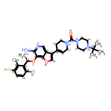 C[C@@H](Oc1c(N)ncc2c(C3=CCN(C(=O)N4CCN(C(C)(C)C)CC4)CC3)coc12)c1c(Cl)ccc(F)c1Cl